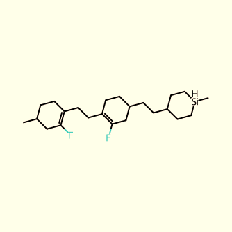 CC1CCC(CCC2=C(F)CC(CCC3CC[SiH](C)CC3)CC2)=C(F)C1